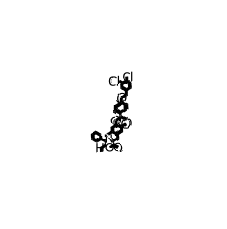 CCC[C@@H](c1ccccc1)N1Cc2cc3c(cc2C[C@H]1C(=O)O)OC[C@H](c1ccc(OCc2ccc(Cl)c(Cl)c2)cc1)O3